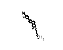 CCCCCCC[C@H]1Cc2ccc3cc(-c4ccc(C#N)c(F)c4)ccc3c2C[C@@H]1F